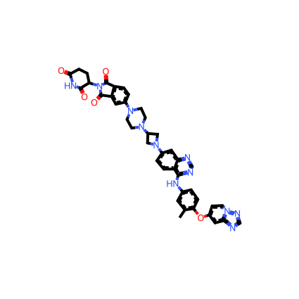 Cc1cc(Nc2ncnc3cc(N4CC(N5CCN(c6ccc7c(c6)C(=O)N(C6CCC(=O)NC6=O)C7=O)CC5)C4)ccc23)ccc1Oc1ccn2ncnc2c1